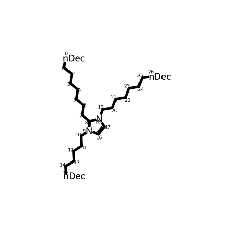 CCCCCCCCCCCCCCCCCC1N(CCCCCCCCCCCCCCC)C=CN1CCCCCCCCCCCCCCCCC